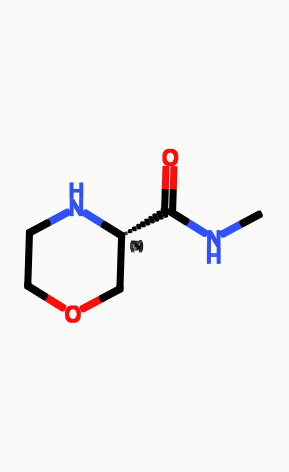 CNC(=O)[C@@H]1COCCN1